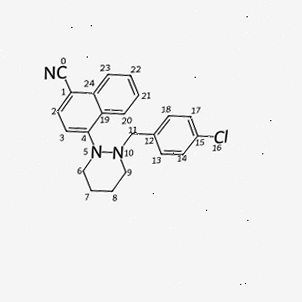 N#Cc1ccc(N2CCCCN2Cc2ccc(Cl)cc2)c2ccccc12